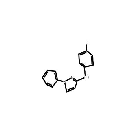 Clc1ccc(Nc2ccn(-c3ccccc3)n2)cc1